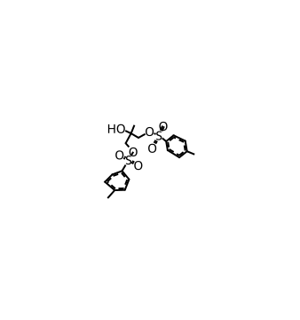 Cc1ccc(S(=O)(=O)OCC(C)(O)COS(=O)(=O)c2ccc(C)cc2)cc1